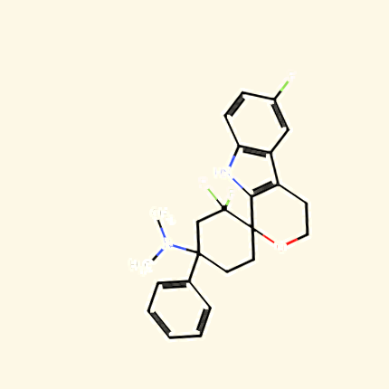 CN(C)C1(c2ccccc2)CCC2(OCCc3c2[nH]c2ccc(F)cc32)C(F)(F)C1